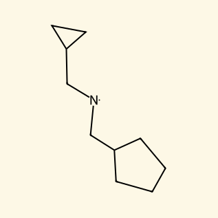 C1CCC(C[N]CC2CC2)C1